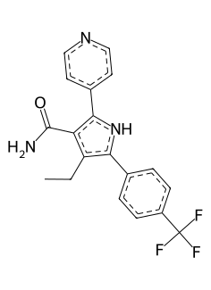 CCc1c(-c2ccc(C(F)(F)F)cc2)[nH]c(-c2ccncc2)c1C(N)=O